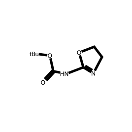 CC(C)(C)OC(=O)NC1=NCCO1